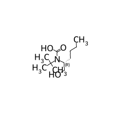 CCCC[C@H](CO)N(C(=O)O)C(C)(C)C